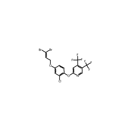 FC(F)(F)c1cnc(Oc2ccc(OCC=C(Br)Br)cc2Cl)cc1C(F)(F)F